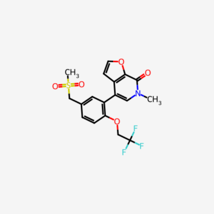 Cn1cc(-c2cc(CS(C)(=O)=O)ccc2OCC(F)(F)F)c2ccoc2c1=O